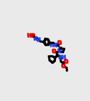 CCOC(=O)CN[C@@H](C(=O)N1CC[C@H]1C(=O)NCc1ccc(CN=NO)cc1)C1CCCCC1